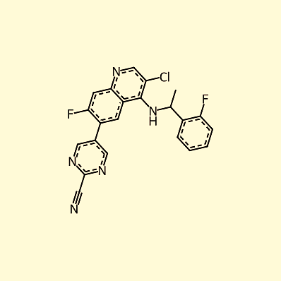 CC(Nc1c(Cl)cnc2cc(F)c(-c3cnc(C#N)nc3)cc12)c1ccccc1F